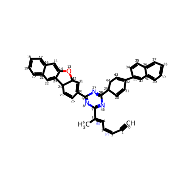 C#C/C=C\C=C(/C)c1nc(C2=CC3Oc4cc5ccccc5cc4C3C=C2)nc(C2C=CC(c3ccc4ccccc4c3)=CC2)n1